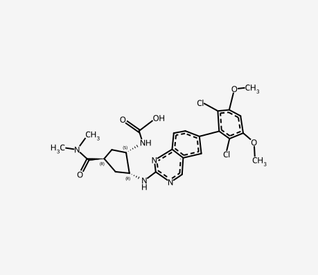 COc1cc(OC)c(Cl)c(-c2ccc3nc(N[C@@H]4C[C@@H](C(=O)N(C)C)C[C@@H]4NC(=O)O)ncc3c2)c1Cl